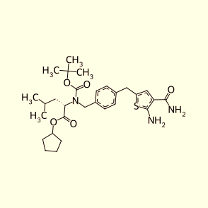 CC(C)C[C@@H](C(=O)OC1CCCC1)N(Cc1ccc(Cc2cc(C(N)=O)c(N)s2)cc1)C(=O)OC(C)(C)C